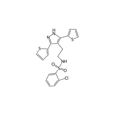 O=S(=O)(NCCc1c(-c2cccs2)n[nH]c1-c1cccs1)c1ccccc1Cl